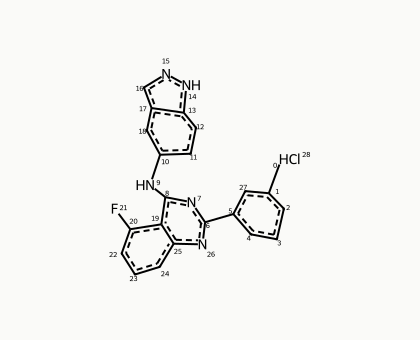 Cc1cccc(-c2nc(Nc3ccc4[nH]ncc4c3)c3c(F)cccc3n2)c1.Cl